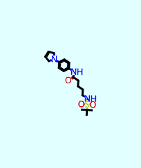 CC(C)(C)S(=O)(=O)NCCCCC(=O)Nc1ccc(N2CC=CC2)cc1